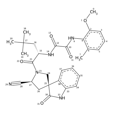 COc1cccc(C)c1NC(=O)C(=O)N[C@@H](CC(C)(C)C)C(=O)N1C[C@]2(C[C@H]1C#N)C(=O)Nc1ccccc12